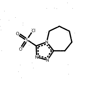 O=S(=O)(Cl)c1nnc2n1CCCCC2